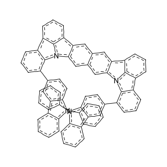 c1ccc(-n2c3ccccc3c3cc(-c4cccc5c6cccc7c8cc9cc%10c%11cccc%12c%13cccc(-c%14ccc%15c(c%14)c%14ccccc%14n%15-c%14ccccc%14)c%13n(c%10cc9cc8n(c45)c76)c%11%12)ccc32)cc1